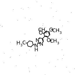 COc1cc(OC)c(-c2cnc(NC3CCC(C)CC3)nc2)c(OC)c1